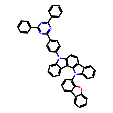 c1ccc(-c2nc(-c3ccccc3)nc(-c3ccc(-n4c5ccccc5c5c4ccc4c6ccccc6n(-c6cccc7c6oc6ccccc67)c45)cc3)n2)cc1